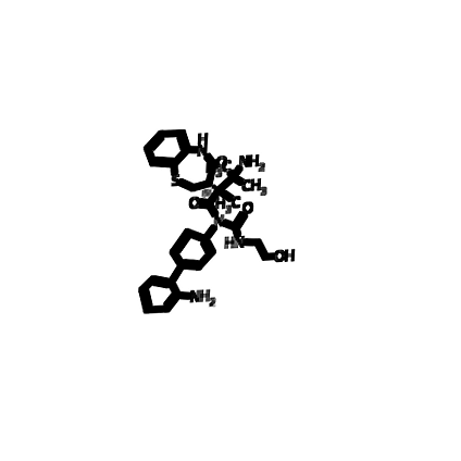 CC(C)(N)C(C)(C(=O)N(C(=O)NCCO)c1ccc(-c2ccccc2N)cc1)[C@@H]1CSc2ccccc2NC1=O